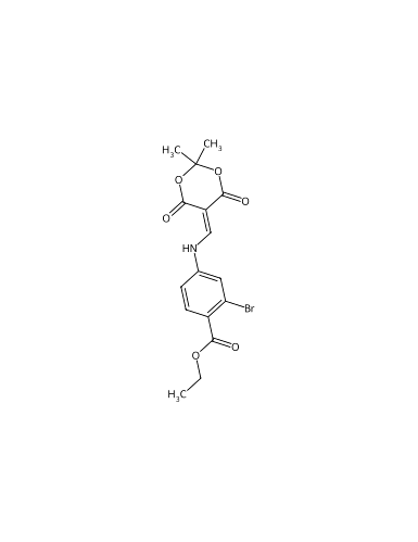 CCOC(=O)c1ccc(NC=C2C(=O)OC(C)(C)OC2=O)cc1Br